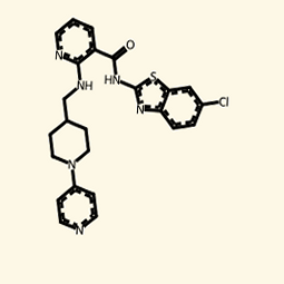 O=C(Nc1nc2ccc(Cl)cc2s1)c1cccnc1NCC1CCN(c2ccncc2)CC1